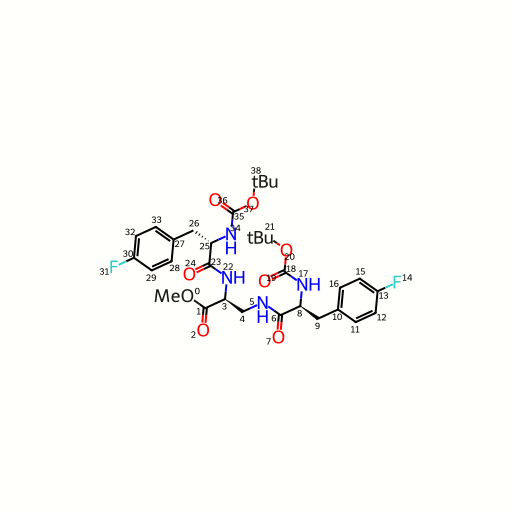 COC(=O)[C@H](CNC(=O)[C@H](Cc1ccc(F)cc1)NC(=O)OC(C)(C)C)NC(=O)[C@H](Cc1ccc(F)cc1)NC(=O)OC(C)(C)C